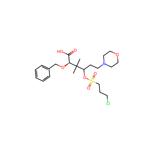 CC(C)(C(CCN1CCOCC1)OS(=O)(=O)CCCCl)[C@@H](OCc1ccccc1)C(=O)O